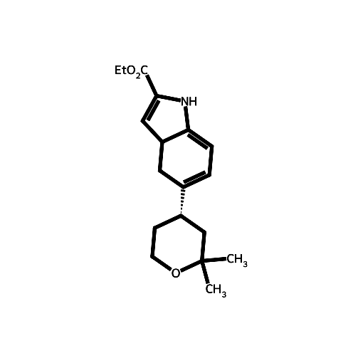 CCOC(=O)C1=CC2CC([C@H]3CCOC(C)(C)C3)=CC=C2N1